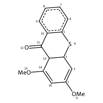 COC1=CC2Sc3ccccc3C(=O)C2C(OC)=C1